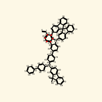 C=Cc1ccccc1-c1ccc2c(c1)C1(c3ccccc3-2)c2ccccc2-c2ccc(-n3c4ccccc4c4cc(-c5ccc(N(c6ccc(-c7ccccc7)cc6)c6ccc7c(c6)C(C)(C)c6ccccc6-7)cc5)ccc43)cc21